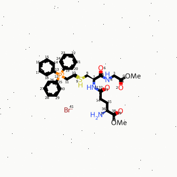 COC(=O)CNC(=O)[C@H](C[SH]=CC[P+](c1ccccc1)(c1ccccc1)c1ccccc1)NC(=O)CC[C@H](N)C(=O)OC.[Br-]